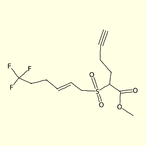 C#CCCC(C(=O)OC)S(=O)(=O)CC=CCCC(F)(F)F